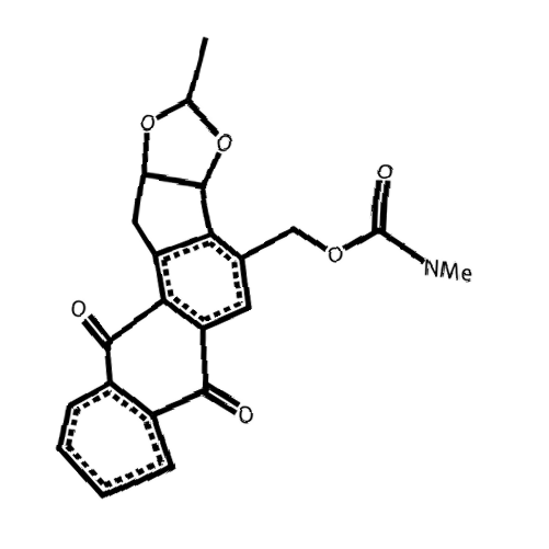 CNC(=O)OCc1cc2c(c3c1C1OC(C)OC1C3)C(=O)c1ccccc1C2=O